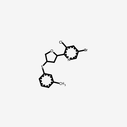 Cc1cccc(SC2COC(c3ncc(Br)cc3Cl)C2)c1